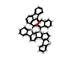 c1ccc2c(c1)-c1cccc3c(-n4c5ccccc5c5ccc6c7c8c(ccc7n(-c7cccc9ccccc79)c6c54)oc4ccccc48)ccc-2c13